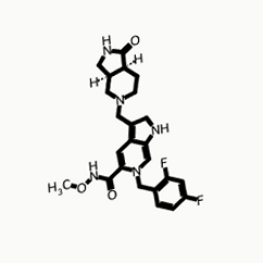 CONC(=O)C1=CC2=C(CN3CC[C@@H]4C(=O)NC[C@@H]4C3)CNC2=CN1Cc1ccc(F)cc1F